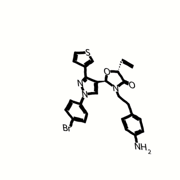 C=C[C@H]1O[C@H](c2cn(-c3ccc(Br)cc3)nc2-c2ccsc2)N(CCc2ccc(N)cc2)C1=O